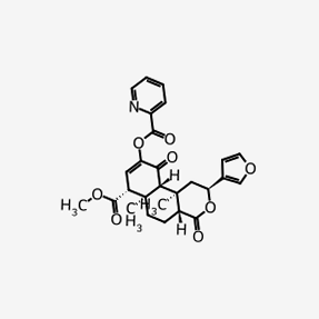 COC(=O)[C@@H]1C=C(OC(=O)c2ccccn2)C(=O)[C@H]2[C@@]1(C)CC[C@H]1C(=O)O[C@H](c3ccoc3)C[C@]21C